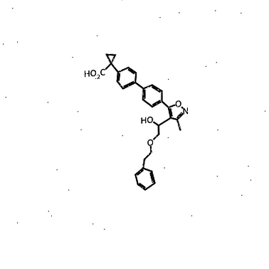 Cc1noc(-c2ccc(-c3ccc(C4(C(=O)O)CC4)cc3)cc2)c1C(O)COCCc1ccccc1